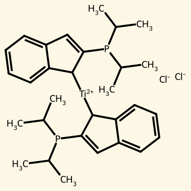 CC(C)P(C1=Cc2ccccc2[CH]1[Ti+2][CH]1C(P(C(C)C)C(C)C)=Cc2ccccc21)C(C)C.[Cl-].[Cl-]